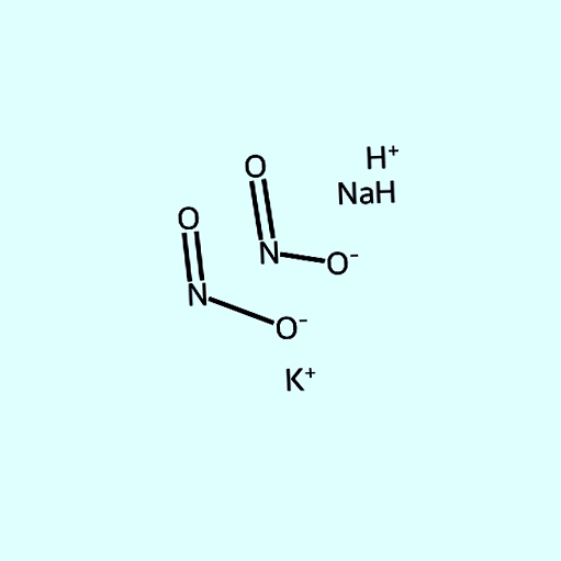 O=N[O-].O=N[O-].[H+].[K+].[NaH]